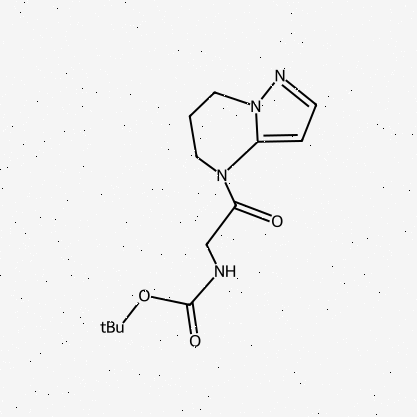 CC(C)(C)OC(=O)NCC(=O)N1CCCn2nccc21